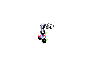 CN(C)C(=O)c1cc(N2CC[C@H](C(=O)N3OCC[C@H]3c3cc(F)cc(F)c3)[C@H](F)C2)ncn1